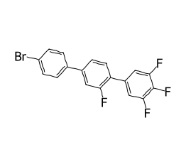 Fc1cc(-c2ccc(Br)cc2)ccc1-c1cc(F)c(F)c(F)c1